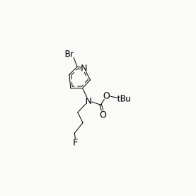 CC(C)(C)OC(=O)N(CCCF)c1ccc(Br)nc1